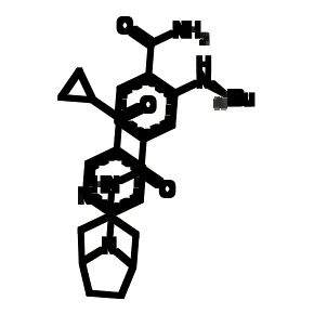 CC[C@H](C)Nc1cc(C(=O)NC2CC3CCC(C2)N3c2ccc(C(=O)C3CC3)cn2)ccc1C(N)=O